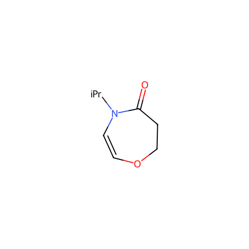 CC(C)N1C=COCCC1=O